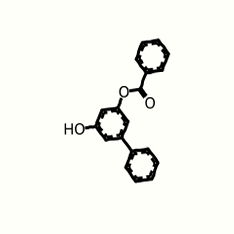 O=C(Oc1cc(O)cc(-c2ccccc2)c1)c1ccccc1